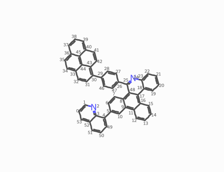 c1cnc2c(-c3ccc4c(c3)c3ccccc3c3c5ccccc5nc(-c5ccc(-c6ccc7ccc8cccc9ccc6c7c89)cc5)c43)cccc2c1